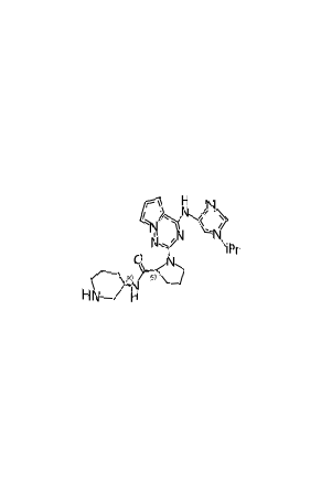 CC(C)n1cnc(Nc2nc(N3CCC[C@H]3C(=O)N[C@@H]3CCCNC3)nn3cccc23)c1